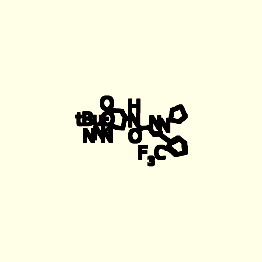 CC(C)(C)OC(=O)CC(CCN=[N+]=[N-])NC(=O)c1cc(-c2ccccc2C(F)(F)F)n(C2CCCC2)n1